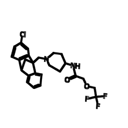 O=C(COCC(F)(F)F)NC1CCN(CC23CC(c4ccccc42)c2ccc(Cl)cc23)CC1